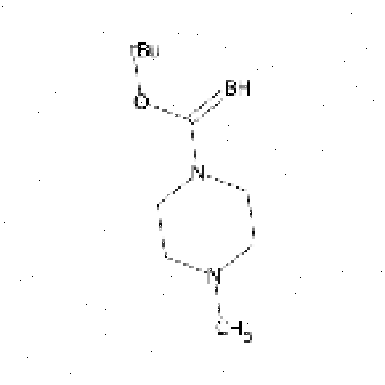 B=C(OC(C)(C)C)N1CCN(C)CC1